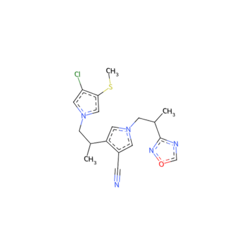 CSc1cn(CC(C)c2cn(CC(C)c3ncon3)cc2C#N)cc1Cl